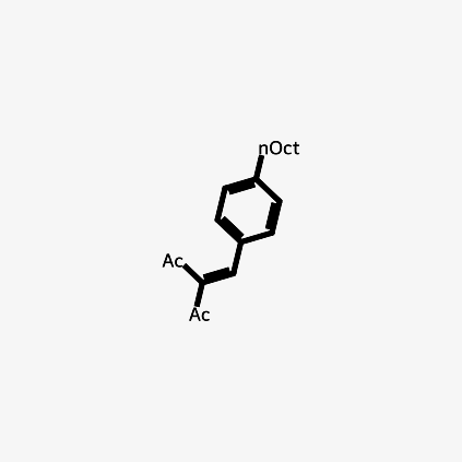 CCCCCCCCc1ccc(C=C(C(C)=O)C(C)=O)cc1